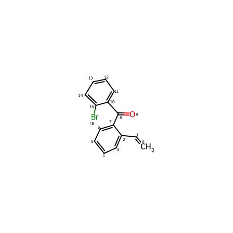 C=Cc1ccccc1C(=O)c1ccccc1Br